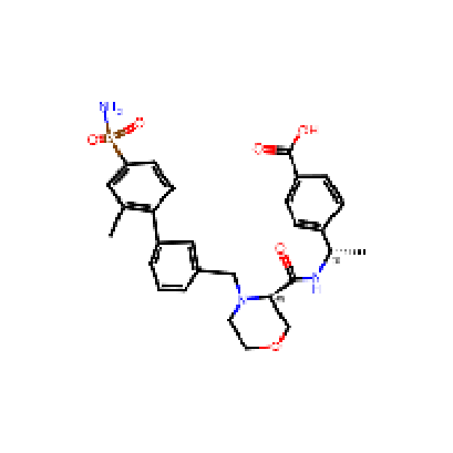 Cc1cc(S(N)(=O)=O)ccc1-c1cccc(CN2CCOC[C@@H]2C(=O)N[C@@H](C)c2ccc(C(=O)O)cc2)c1